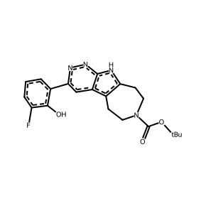 CC(C)(C)OC(=O)N1CCc2[nH]c3nnc(-c4cccc(F)c4O)cc3c2CC1